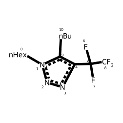 CCCCCCn1nnc(C(F)(F)C(F)(F)F)c1CCCC